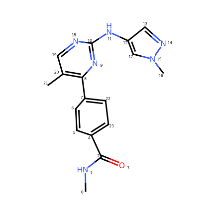 CNC(=O)c1ccc(-c2nc(Nc3cnn(C)c3)ncc2C)cc1